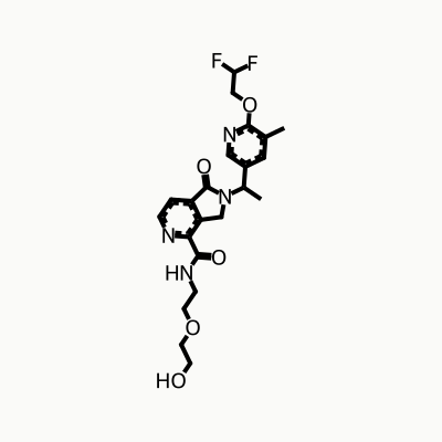 Cc1cc(C(C)N2Cc3c(ccnc3C(=O)NCCOCCO)C2=O)cnc1OCC(F)F